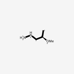 CO[C@H](C)CNN